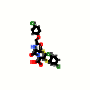 O=C(COc1ccc(Cl)cc1)N[C@@H]1C(=O)N2C(C(=O)O)=C(Sc3cc(Cl)ccc3Cl)CS[C@H]12